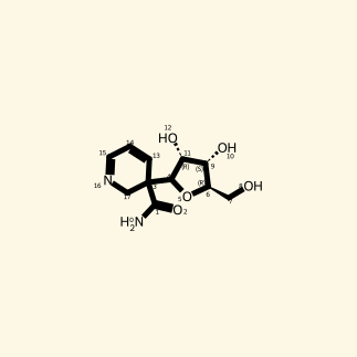 NC(=O)C1(C2O[C@H](CO)[C@@H](O)[C@H]2O)C=CC=NC1